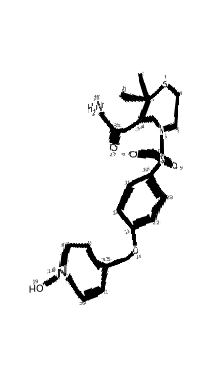 CC1(C)SCCN(S(=O)(=O)c2ccc(OC3=CCN(O)C=C3)cc2)C1C(N)=O